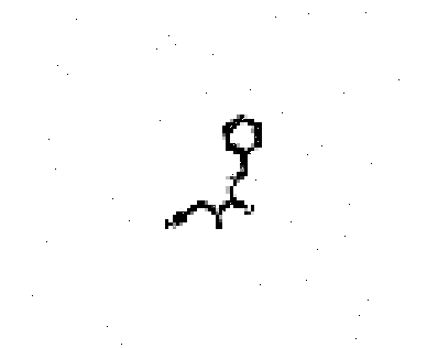 CN(CC#N)C(=O)OCc1ccccc1